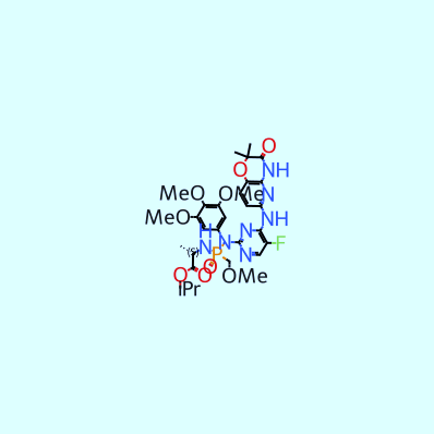 COCP(=O)(N[C@@H](C)C(=O)OC(C)C)N(c1cc(OC)c(OC)c(OC)c1)c1ncc(F)c(Nc2ccc3c(n2)NC(=O)C(C)(C)O3)n1